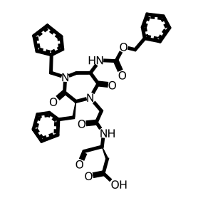 O=C[C@H](CC(=O)O)NC(=O)CN1C(=O)C(NC(=O)OCc2ccccc2)CN(Cc2ccccc2)C(=O)[C@@H]1Cc1ccccc1